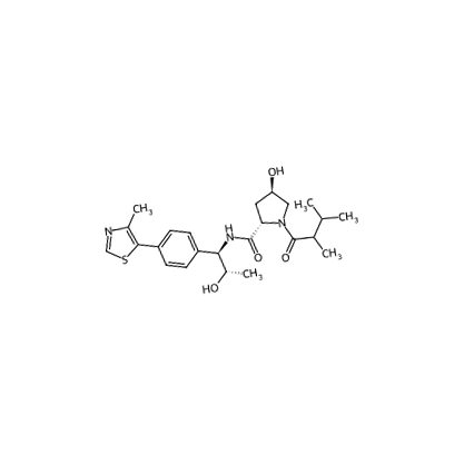 Cc1ncsc1-c1ccc([C@@H](NC(=O)[C@@H]2C[C@@H](O)CN2C(=O)C(C)C(C)C)[C@H](C)O)cc1